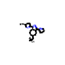 CCC(C)(C)CC1CCCC2C(c3ccc(C(C)(C)C)cn3)=NN=C(c3ccccn3)C2CC1